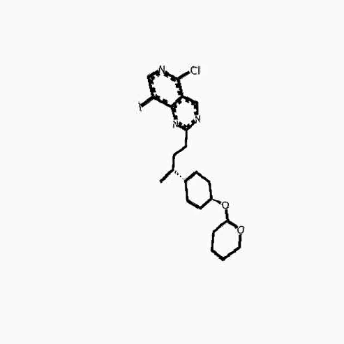 CC(CCc1ncc2c(Cl)ncc(I)c2n1)[C@H]1CC[C@H](OC2CCCCO2)CC1